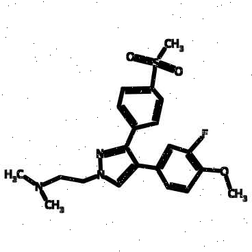 COc1ccc(-c2cn(CCN(C)C)nc2-c2ccc(S(C)(=O)=O)cc2)cc1F